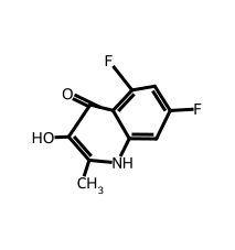 Cc1[nH]c2cc(F)cc(F)c2c(=O)c1O